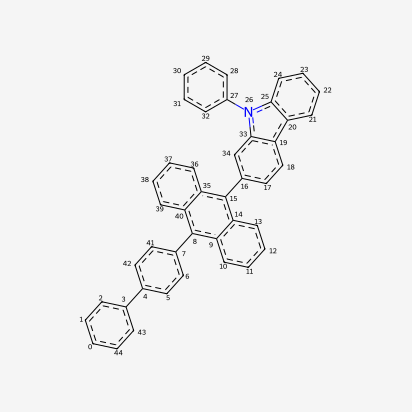 c1ccc(-c2ccc(-c3c4ccccc4c(-c4ccc5c6ccccc6n(-c6ccccc6)c5c4)c4ccccc34)cc2)cc1